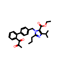 CCCc1nc(C(C)C)c(C(=O)OCC)n1Cc1ccc(-c2ccccc2C(=O)C(C)=O)cc1